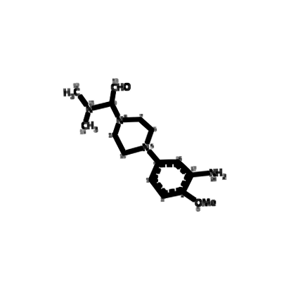 COc1ccc(N2CCN(C(C=O)N(C)C)CC2)cc1N